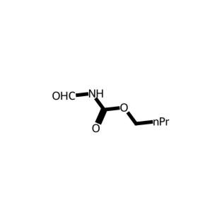 CCCCOC(=O)NC=O